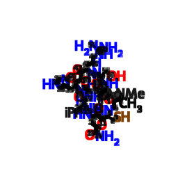 CN[C@@H](C)C(=O)CN[C@@H](CS)C(=O)C(=O)[C@H](CCC(N)=O)NN[C@@H](CC(C)C)C(=O)N[C@H](C(=O)N[C@@H](Cc1c[nH]cn1)C(=O)CC(=O)[C@H](CCCNC(N)N)NN[C@@H](CO)C(=O)N[C@@H](CC(C)C)C(C)=O)C(C)C